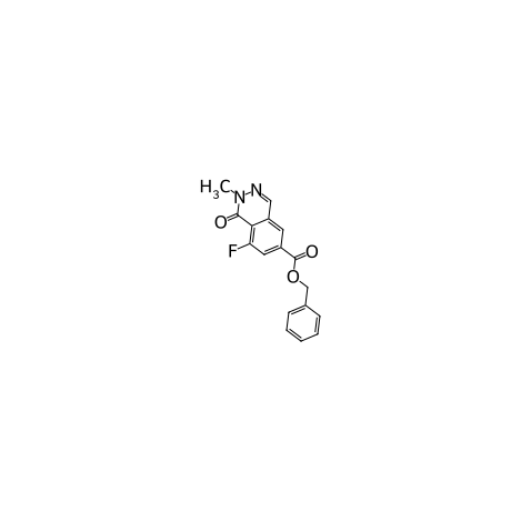 Cn1ncc2cc(C(=O)OCc3ccccc3)cc(F)c2c1=O